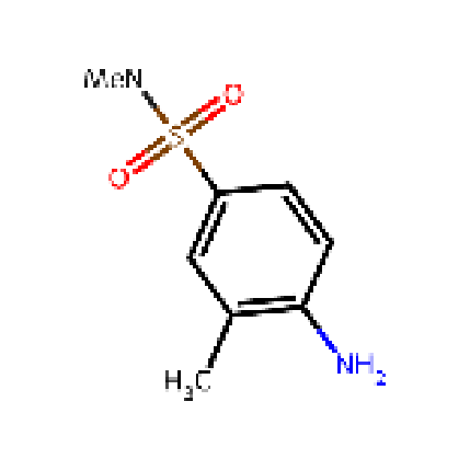 CNS(=O)(=O)c1ccc(N)c(C)c1